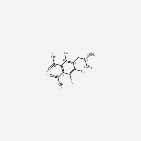 CN(C)Cc1c(F)c(F)c(C(=O)O)c(C(=O)O)c1F